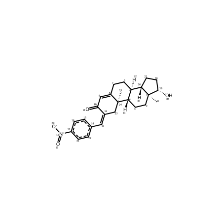 C[C@]12CC[C@H]3[C@@H](CCC4=CC(=O)/C(=C\c5ccc([N+](=O)[O-])cc5)C[C@@]43C)[C@@H]1CC[C@@H]2O